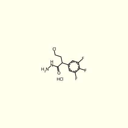 Cl.NNC(=O)C(CCCl)c1cc(F)c(F)c(F)c1